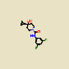 O=C(Nc1cc(F)cc(Cl)c1)N1CCC(O)(C2CC2)CC1